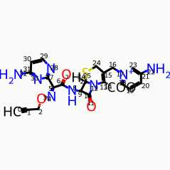 C#CCON=C(C(=O)NC1C(=O)N2C(C(=O)[O-])=C(C[n+]3cccc(N)c3)CS[C@@H]12)c1nccc(N)n1